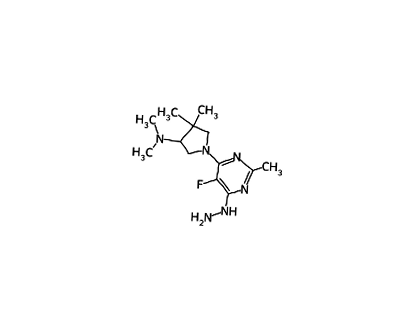 Cc1nc(NN)c(F)c(N2CC(N(C)C)C(C)(C)C2)n1